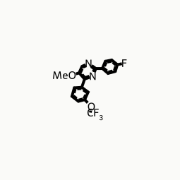 COc1cnc(-c2ccc(F)cc2)nc1-c1cccc(OC(F)(F)F)c1